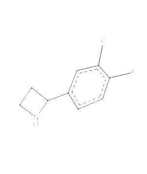 Fc1ccc(C2CCN2)cc1F